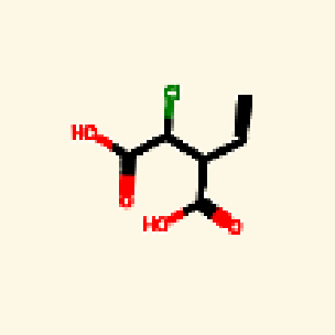 C=CC(C(=O)O)C(Cl)C(=O)O